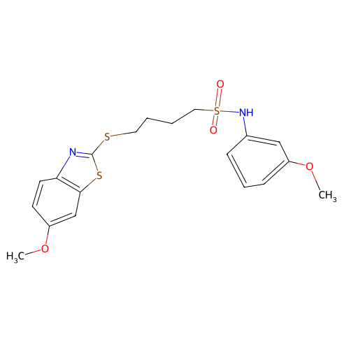 COc1cccc(NS(=O)(=O)CCCCSc2nc3ccc(OC)cc3s2)c1